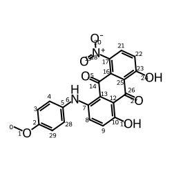 COc1ccc(Nc2ccc(O)c3c2C(=O)c2c([N+](=O)[O-])ccc(O)c2C3=O)cc1